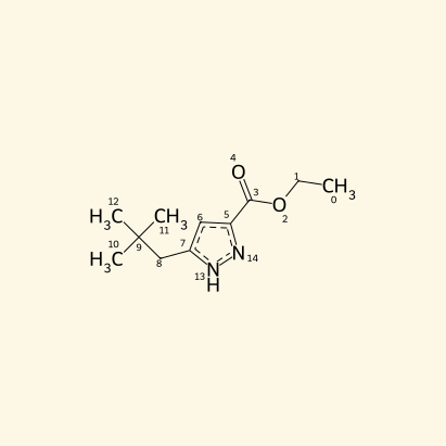 CCOC(=O)c1cc(CC(C)(C)C)[nH]n1